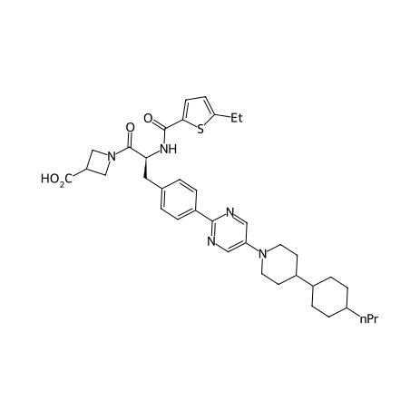 CCCC1CCC(C2CCN(c3cnc(-c4ccc(C[C@H](NC(=O)c5ccc(CC)s5)C(=O)N5CC(C(=O)O)C5)cc4)nc3)CC2)CC1